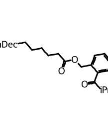 CCCCCCCCCCCCCCCC(=O)OCc1ccccc1C(=O)C(C)C